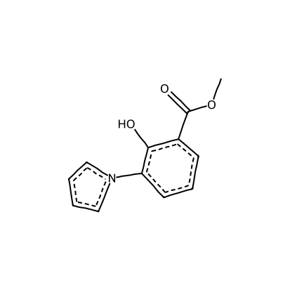 COC(=O)c1cccc(-n2cccc2)c1O